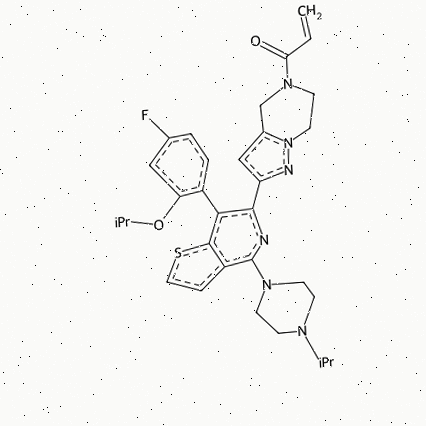 C=CC(=O)N1CCn2nc(-c3nc(N4CCN(C(C)C)CC4)c4ccsc4c3-c3ccc(F)cc3OC(C)C)cc2C1